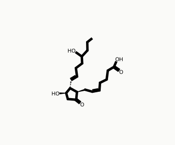 CCCC(O)CC/C=C/[C@H]1[C@H](O)CC(=O)[C@@H]1C/C=C\CCCC(=O)O